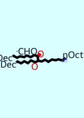 CCCCCCCC/C=C\CCCCCCC(C(=O)CCCCCCCCCCCCCCC)C(=O)C([C]=O)CCCCCCCCCCCCCCCC